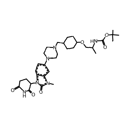 CC(COC1CCC(CN2CCN(c3ccc4c(c3)n(C)c(=O)n4C3CCC(=O)NC3=O)CC2)CC1)NC(=O)OC(C)(C)C